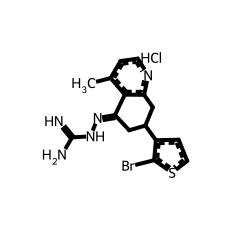 Cc1ccnc2c1C(=NNC(=N)N)CC(c1ccsc1Br)C2.Cl